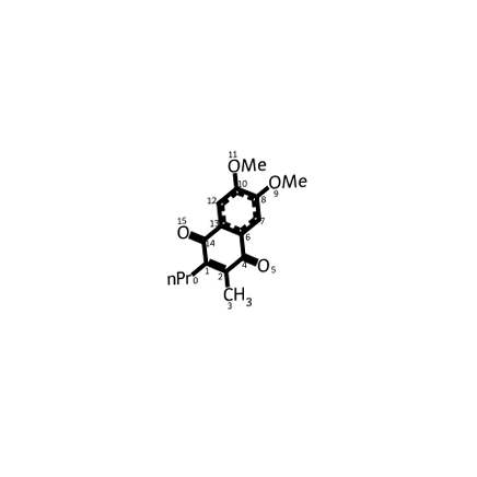 CCCC1=C(C)C(=O)c2cc(OC)c(OC)cc2C1=O